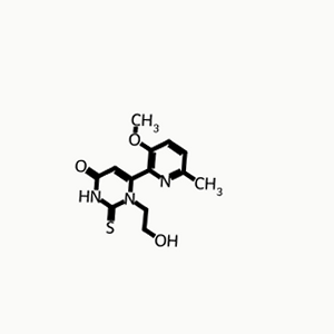 COc1ccc(C)nc1-c1cc(=O)[nH]c(=S)n1CCO